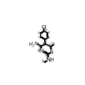 CNC1=NC(N)C(c2ccc(Cl)cc2)C(C)=N1